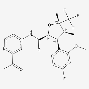 COc1cc(F)ccc1[C@H]1[C@@H](C(=O)Nc2ccnc(C(C)=O)c2)O[C@](C)(C(F)(F)F)[C@H]1C